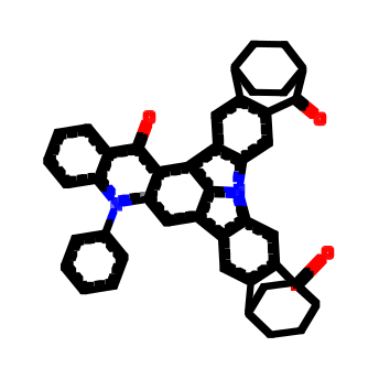 O=C1c2cc3c(cc2C2CCC1CC2)c1cc2c(c(=O)c4ccccc4n2-c2ccccc2)c2c4cc5c(cc4n3c12)C(=O)C1CCC5CC1